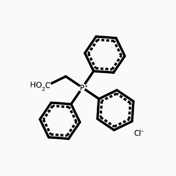 O=C(O)C[P+](c1ccccc1)(c1ccccc1)c1ccccc1.[Cl-]